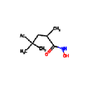 CC(=O)C(C)(C)CC(C)C(=O)NO